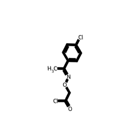 CC(=NOCC(=O)Cl)c1ccc(Cl)cc1